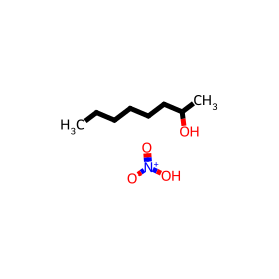 CCCCCCC(C)O.O=[N+]([O-])O